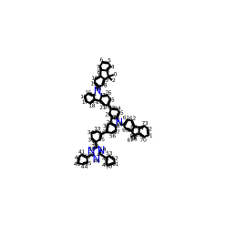 CC1(C)c2ccccc2-c2ccc(-n3c4ccccc4c4cc(-c5ccc6c(c5)c5cc(-c7cccc(-c8nc(-c9ccccc9)nc(-c9ccccc9)n8)c7)ccc5n6-c5ccc6c(c5)C(C)(C)c5ccccc5-6)ccc43)cc21